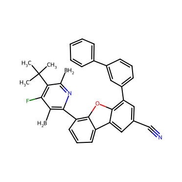 Bc1nc(-c2cccc3c2oc2c(-c4cccc(-c5ccccc5)c4)cc(C#N)cc23)c(B)c(F)c1C(C)(C)C